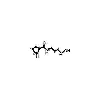 O=C(NCCCSO)C1CCCN1